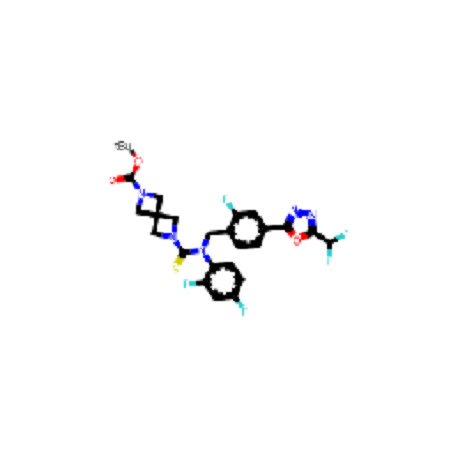 CC(C)(C)OC(=O)N1CC2(C1)CN(C(=S)N(Cc1ccc(-c3nnc(C(F)F)o3)cc1F)c1ccc(F)cc1F)C2